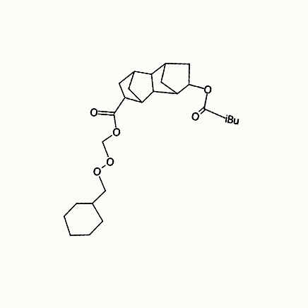 CCC(C)C(=O)OC1CC2CC1C1C3CC(CC3C(=O)OCOOCC3CCCCC3)C21